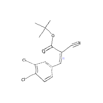 CC(C)(C)OC(=O)/C(C#N)=C\c1ccc(Cl)c(Cl)c1